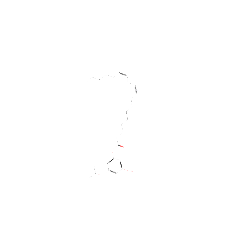 CCCCC/C=C\C/C=C\CCCCCCCC(=O)Oc1cc(O)cc(OC(C)C)c1